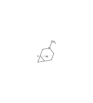 CN1CCC2C[C@H]2C1